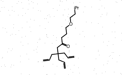 C=CCC(CC=C)(CC=C)CC(=O)CCCOCCC(C)C